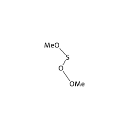 COOSOC